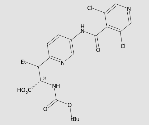 CCC(c1ccc(NC(=O)c2c(Cl)cncc2Cl)cn1)[C@H](NC(=O)OC(C)(C)C)C(=O)O